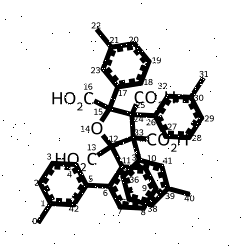 Cc1cccc(-c2ccccc2C2(C(=O)O)OC(C(=O)O)(c3cccc(C)c3)C(C(=O)O)(c3cccc(C)c3)C2(C(=O)O)c2cccc(C)c2)c1